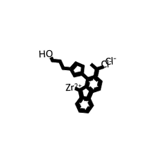 CC(C)=c1ccc2c(c1C1=CC(CCCO)=CC1)[C]([Zr+2])=c1ccccc1=2.[Cl-].[Cl-]